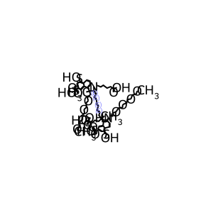 COCCOCCOCCOCCNc1ccc2c(SO)cc(S(=O)(=O)O)cc2c1C(C)(C/C=C/C=C/C=C/C=C1/N(CCCCCC(=O)O)c2ccc3c(SO)cc(S(=O)(=O)O)cc3c2C1(C)CCOCCOCCOCCOC)CCCS(=O)(=O)O